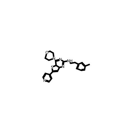 Cc1cccc(CCNC2=NC3C=C(c4ccncc4)SC3C(N3CCOCC3)=N2)c1